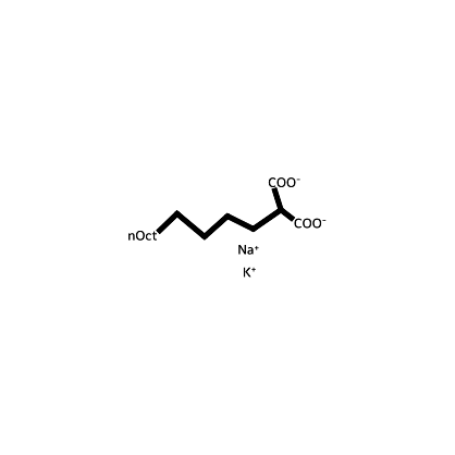 CCCCCCCCCCCCC(C(=O)[O-])C(=O)[O-].[K+].[Na+]